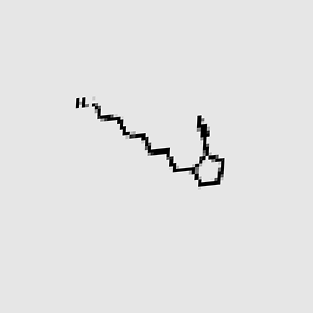 CCCCCC=CCC1CCCC1C#N